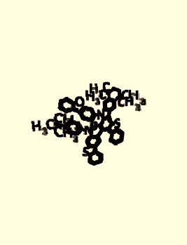 CC(C)(C)c1ccc(N2B3c4cc5c(cc4-n4c6cc7c(cc6c6c8sc9ccccc9c8c(c3c64)-c3cc4c(cc32)sc2ccccc24)C(C)(C)CCC7(C)C)oc2ccccc25)cc1